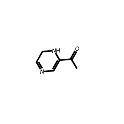 CC(=O)C1=CN=CCN1